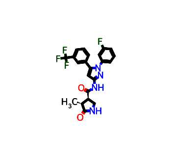 C[C@H]1C(=O)NC[C@@H]1C(=O)Nc1cc(-c2cccc(C(F)(F)F)c2)n(-c2cccc(F)c2)n1